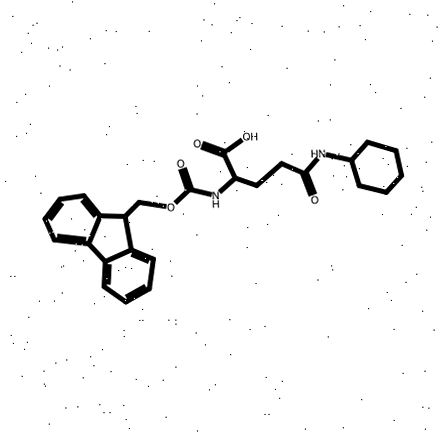 O=C(CCC(NC(=O)OCC1c2ccccc2-c2ccccc21)C(=O)O)NC1CCCCC1